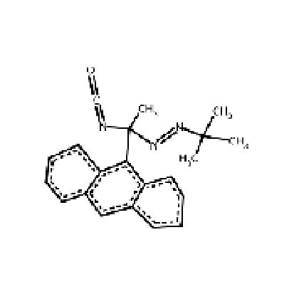 CC(C)(C)N=NC(C)(N=C=O)c1c2ccccc2cc2ccccc12